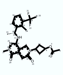 CC(=O)OC1CC(n2cc3c(N[C@H](C)c4cccc(C(F)(F)F)c4C)nn(C)c(=O)c3cc2=O)C1